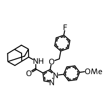 COc1ccc(-n2ncc(C(=O)NC3C4CC5CC(C4)CC3C5)c2OCc2ccc(F)cc2)cc1